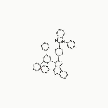 c1ccc(-c2cc(-c3ccccc3)cc(-c3c(-c4ccc(-c5nc6ccccc6n5-c5ccccc5)cc4)sc4c3c(-c3ccccc3)nc3ccccc34)c2)cc1